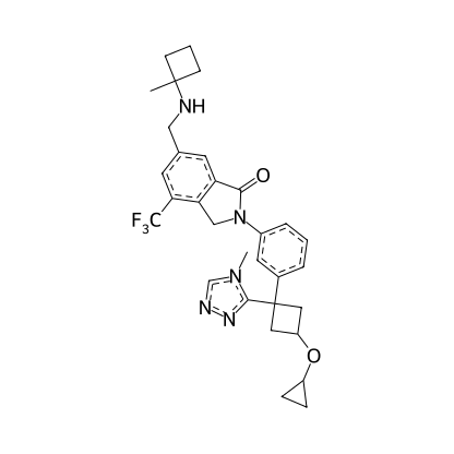 Cn1cnnc1C1(c2cccc(N3Cc4c(cc(CNC5(C)CCC5)cc4C(F)(F)F)C3=O)c2)CC(OC2CC2)C1